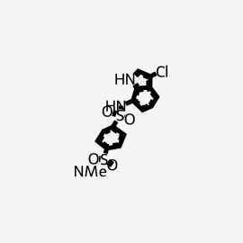 CNS(=O)(=O)c1ccc(S(=O)(=O)Nc2cccc3c(Cl)c[nH]c23)cc1